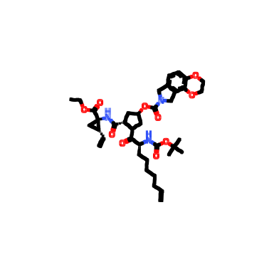 C=CCCCCC[C@H](NC(=O)OC(C)(C)C)C(=O)C1C[C@H](OC(=O)N2Cc3ccc4c(c3C2)OCCO4)C[C@H]1C(=O)N[C@]1(C(=O)OCC)C[C@H]1C=C